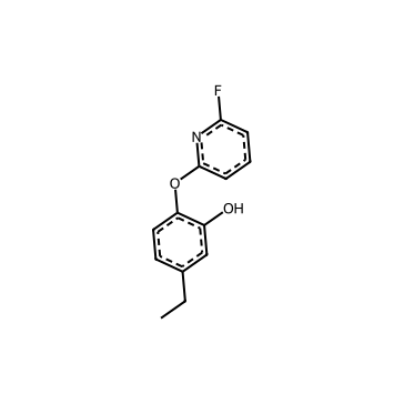 CCc1ccc(Oc2cccc(F)n2)c(O)c1